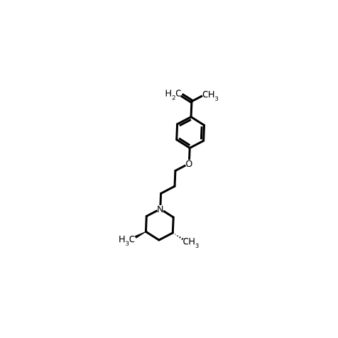 C=C(C)c1ccc(OCCCN2C[C@H](C)C[C@@H](C)C2)cc1